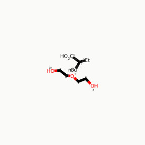 CCCCC(CC)C(=O)O.OCCOCCO